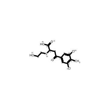 Cc1c(Cl)cc(C(=O)CC(SCCO)C(=O)O)cc1Cl